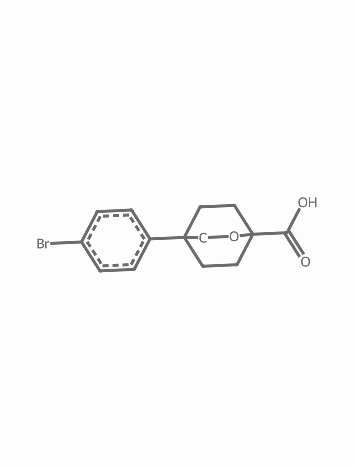 O=C(O)C12CCC(c3ccc(Br)cc3)(CC1)CO2